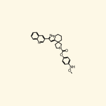 CONc1ccc(OC(=O)N2CCC3(CCCn4nc(-c5cnc6ccccc6c5)cc43)C2)cc1